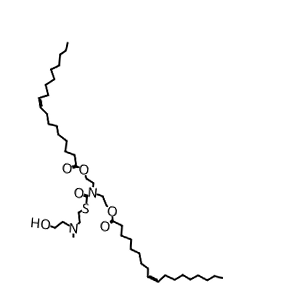 CCCCCCCC/C=C\CCCCCCCC(=O)OCCN(CCOC(=O)CCCCCCC/C=C\CCCCCCCC)C(=O)SCCN(C)CCO